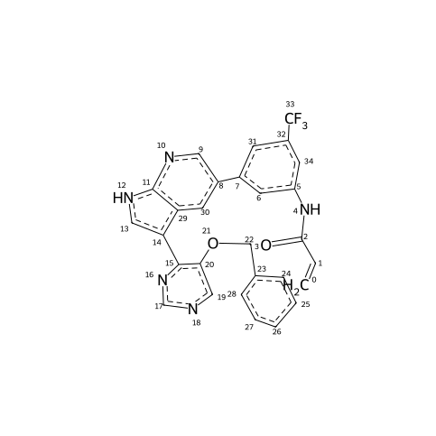 C=CC(=O)Nc1cc(-c2cnc3[nH]cc(-c4ncncc4OCc4ccccc4)c3c2)cc(C(F)(F)F)c1